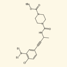 CCN(CC)c1cc(C#CC(C)NC(=O)N2CCN(C(=O)OC(C)(C)C)CC2)ccc1Cl